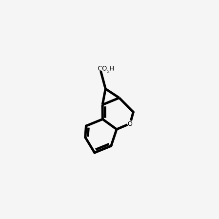 O=C(O)C1C2=C3C=CC=CC3OCC21